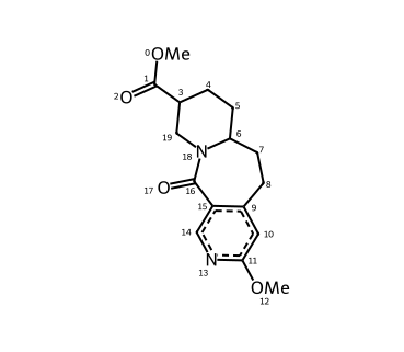 COC(=O)C1CCC2CCc3cc(OC)ncc3C(=O)N2C1